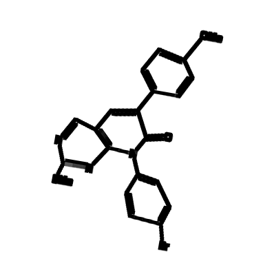 COc1ccc(-c2cc3cnc(SC)nc3n(-c3ccc(Br)cc3)c2=O)cc1